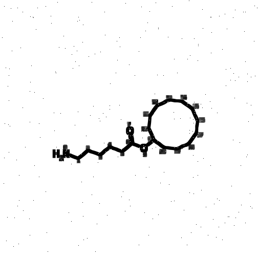 NCCCCCC(=O)OC1CCCCCCCCCCC1